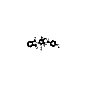 COc1ccc(C2OC[C@@H]3C[C@@H](N4C(=O)c5ccccc5C4=O)[C@H](O)[C@@H]3O2)cc1